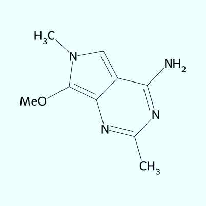 COc1c2nc(C)nc(N)c2cn1C